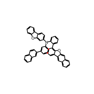 c1cc(-c2ccc3ccccc3c2)cc(N(c2ccc3c(c2)oc2ccccc23)c2ccccc2-c2cccc3c2oc2cc4ccccc4cc23)c1